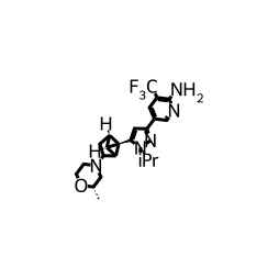 CC(C)n1nc(-c2cnc(N)c(C(F)(F)F)c2)cc1[C@]12C3C(N4CCO[C@@H](C)C4)C[C@@H]1[C@H]32